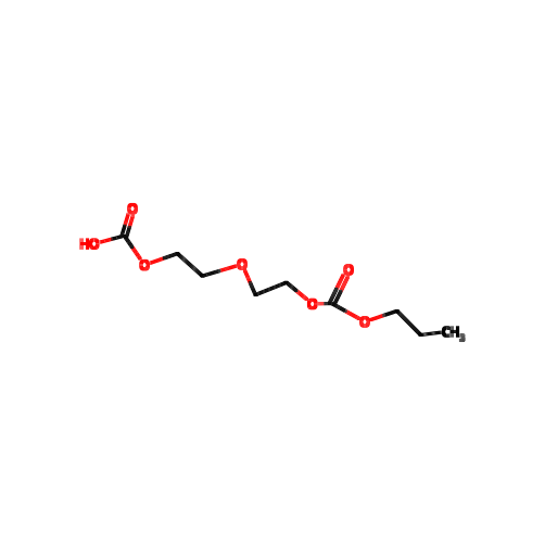 CCCOC(=O)OCCOCCOC(=O)O